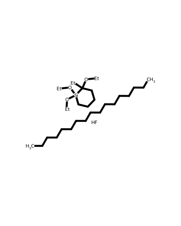 CCCCCCCCCCCCCCCCC.CCOC1(CC)CCCC[Si]1(OCC)OCC.F